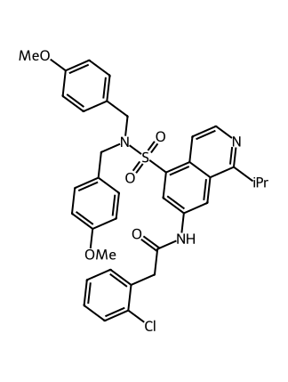 COc1ccc(CN(Cc2ccc(OC)cc2)S(=O)(=O)c2cc(NC(=O)Cc3ccccc3Cl)cc3c(C(C)C)nccc23)cc1